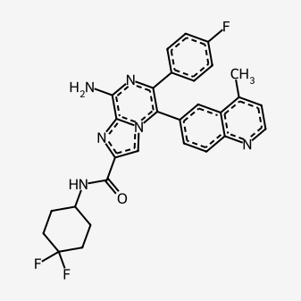 Cc1ccnc2ccc(-c3c(-c4ccc(F)cc4)nc(N)c4nc(C(=O)NC5CCC(F)(F)CC5)cn34)cc12